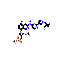 CC(C)c1ccc(N2C[C@H](CS(C)(=O)=O)[C@H]2C)c2cnc(Nc3ccnc(-c4cnn(CC5(CF)CC5)c4)n3)cc12